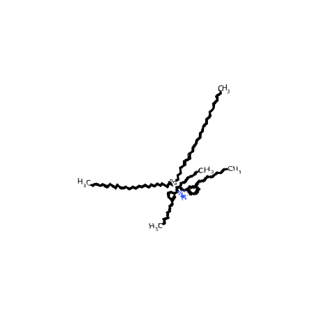 CCCCCCCCCCCCCCCCCCCCCCCCC[CH2][Pd][CH2]CCCCCCCCCCCCCCCCCCCCCCCCC.CCCCCCCCc1cccc(C2=CC(CCCCCC)=C(c3cccc(CCCCCCCC)c3)[N+]2=[N-])c1